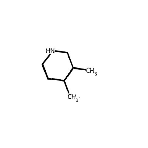 [CH2]C1CCNCC1C